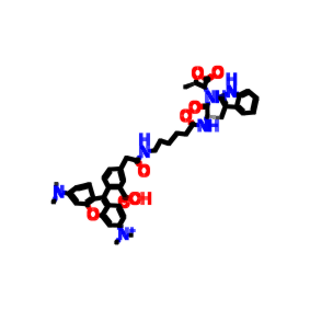 C[C@H]1OC(=O)[C@H]1NC(=O)[C@H](Cc1c[nH]c2ccccc12)NC(=O)CCCCCNC(=O)Cc1ccc(-c2c3ccc(=[N+](C)C)cc-3oc3cc(N(C)C)ccc23)c(C(=O)O)c1